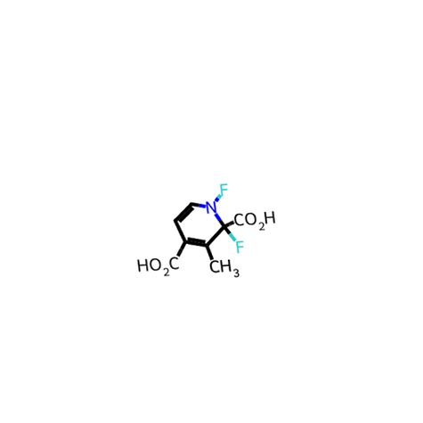 CC1=C(C(=O)O)C=CN(F)C1(F)C(=O)O